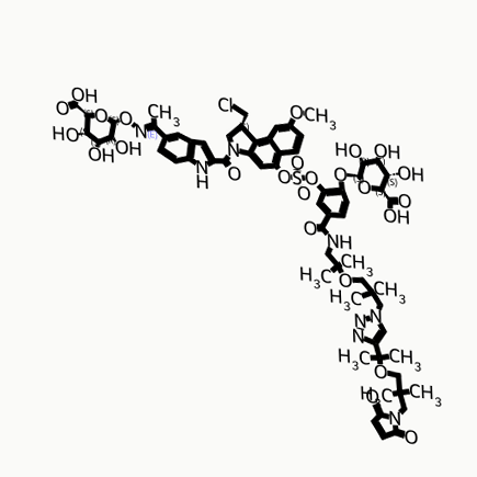 COc1ccc2c(OS(=O)(=O)Oc3cc(C(=O)NCC(C)(C)OCC(C)(C)Cn4cc(C(C)(C)OCC(C)(C)CN5C(=O)C=CC5=O)nn4)ccc3O[C@@H]3O[C@H](C(=O)O)[C@@H](O)[C@H](O)[C@H]3O)cc3c(c2c1)[C@H](CCl)CN3C(=O)c1cc2cc(/C(C)=N/O[C@@H]3O[C@H](C(=O)O)[C@@H](O)[C@H](O)[C@H]3O)ccc2[nH]1